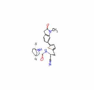 CN1C(=O)Cc2ccc(-c3ccc(C[C@@H](C#N)NC(=O)[C@H]4N[C@@H]5CC[C@H]4C5)s3)cc21